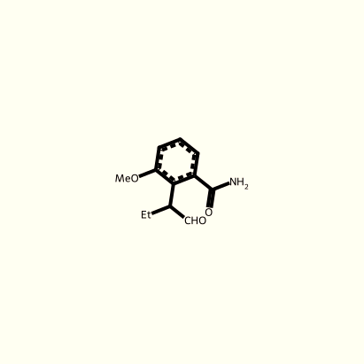 CCC(C=O)c1c(OC)cccc1C(N)=O